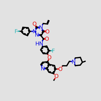 C=CCn1c(=O)c(C(=O)Nc2ccc(Oc3ccnc4cc(OC)c(OCCCN5CCC(C)CC5)cc34)c(F)c2)nn(-c2ccc(F)cc2)c1=O